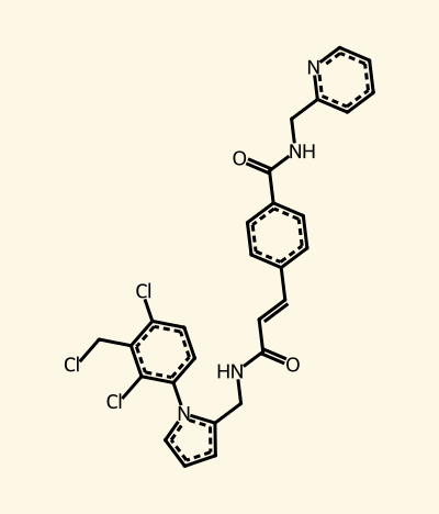 O=C(C=Cc1ccc(C(=O)NCc2ccccn2)cc1)NCc1cccn1-c1ccc(Cl)c(CCl)c1Cl